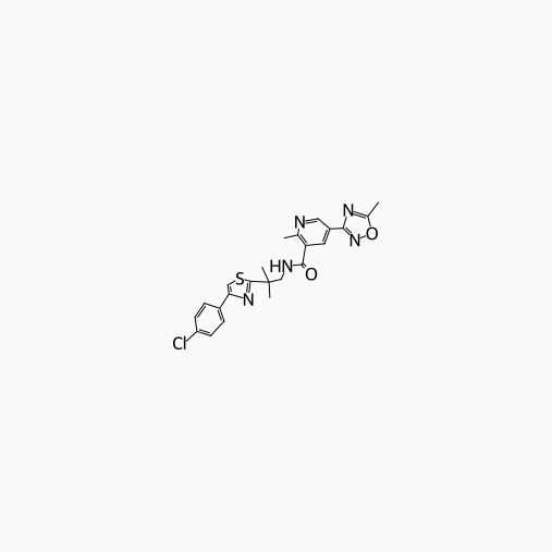 Cc1nc(-c2cnc(C)c(C(=O)NCC(C)(C)c3nc(-c4ccc(Cl)cc4)cs3)c2)no1